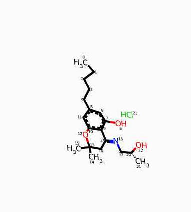 CCCCCc1cc(O)c2c(c1)OC(C)(C)CC2=NC[C@@H](C)O.Cl